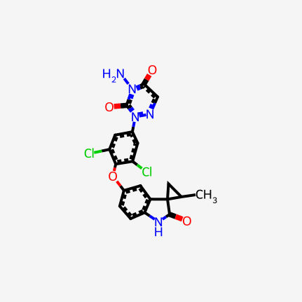 CC1CC12C(=O)Nc1ccc(Oc3c(Cl)cc(-n4ncc(=O)n(N)c4=O)cc3Cl)cc12